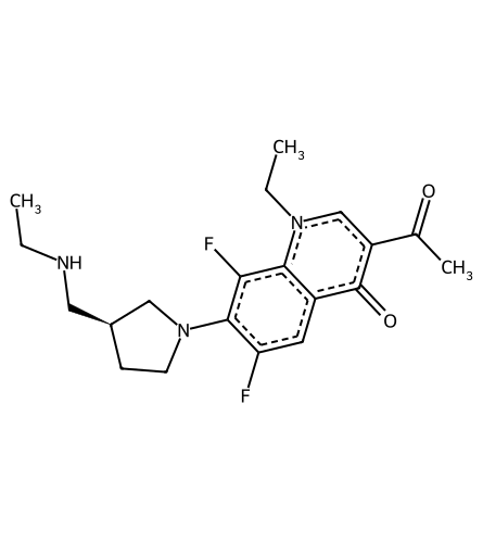 CCNC[C@@H]1CCN(c2c(F)cc3c(=O)c(C(C)=O)cn(CC)c3c2F)C1